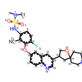 CCN(C)S(=O)(=O)Nc1ccc(F)c(Oc2ccc3ncc(C4COC5(CCNCC5)C4)cc3c2)c1C#N